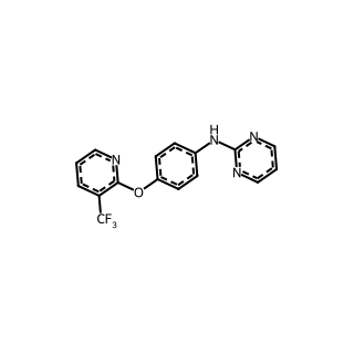 FC(F)(F)c1cccnc1Oc1ccc(Nc2ncccn2)cc1